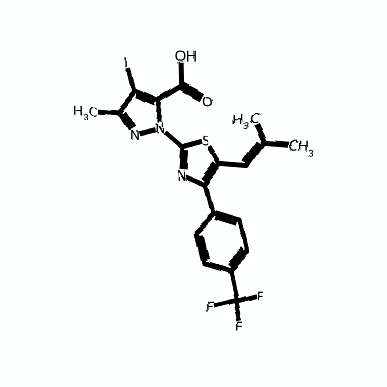 CC(C)=Cc1sc(-n2nc(C)c(I)c2C(=O)O)nc1-c1ccc(C(F)(F)F)cc1